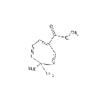 COC(=O)C1=CC=CC(C)(C)C=C1